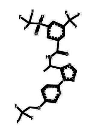 CC(NC(=O)c1cc(C(F)(F)F)cc(S(=O)(=O)C(F)(F)F)c1)c1ncnn1-c1ccc(OCC(F)(F)F)cn1